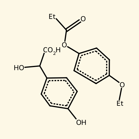 CCOc1ccc(OC(=O)CC)cc1.O=C(O)C(O)c1ccc(O)cc1